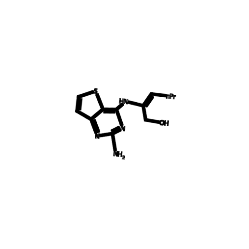 CCC/C=C(\CO)Nc1nc(N)nc2ccsc12